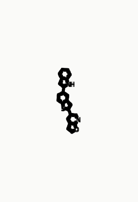 c1ccc2[nH]c(-c3ccc4sc(-c5cnc6occc6c5)cc4c3)cc2c1